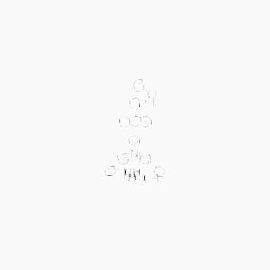 CC1(C)c2ccccc2-c2ccc(-c3c4ccccc4c(-c4ccc(N(c5ccc6c(c5)C(C)(C)c5ccccc5-6)c5ccc6c(c5)C(C)(C)c5ccccc5-6)cc4)c4ccccc34)cc21